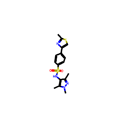 Cc1nc(-c2ccc(S(=O)(=O)Nc3c(C)nn(C)c3C)cc2)cs1